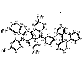 CCCc1ccc(N2c3cc(CCC)cc4c3B(c3cc(CCC)ccc3N4c3cccc(-c4cccc5c6ccccc6c6ccccc6c45)c3)c3sc4ccc(CCC)cc4c32)cc1